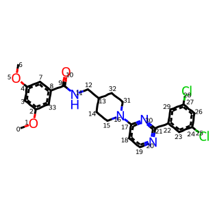 COc1cc(OC)cc(C(=O)NCC2CCN(c3ccnc(-c4cc(Cl)cc(Cl)c4)n3)CC2)c1